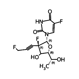 C[C@@H](O)[C@H]1O[C@@H](n2cc(F)c(=O)[nH]c2=O)[C@@](F)(C#CCF)C1O